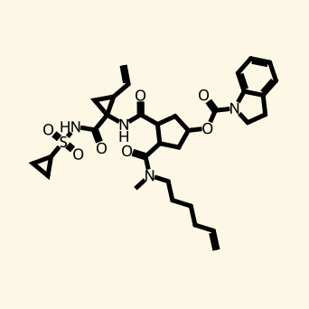 C=CCCCCN(C)C(=O)C1CC(OC(=O)N2CCc3ccccc32)CC1C(=O)NC1(C(=O)NS(=O)(=O)C2CC2)CC1C=C